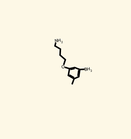 Bc1cc(C)cc(OCCCCN)c1